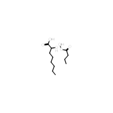 CCCC(=O)OO.CCCCCCC(O)C(=O)O